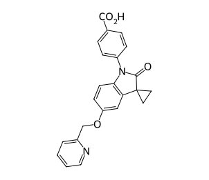 O=C(O)c1ccc(N2C(=O)C3(CC3)c3cc(OCc4ccccn4)ccc32)cc1